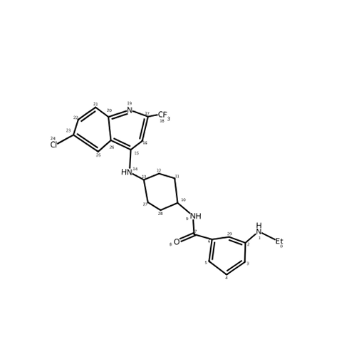 CCNc1cccc(C(=O)NC2CCC(Nc3cc(C(F)(F)F)nc4ccc(Cl)cc34)CC2)c1